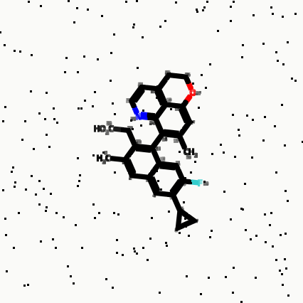 Cc1cc2cc(C3CC3)c(F)cc2c(-c2c(C)cc3c4c(ccnc24)CCO3)c1CC(=O)O